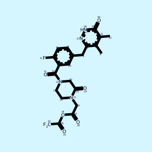 Cc1c(Cc2ccc(F)c(C(=O)N3CCN(CC(=O)OC(=O)C(F)(F)F)C(=O)C3)c2)n[nH]c(=O)c1C